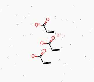 C=CC(=O)[O-].C=CC(=O)[O-].C=CC(=O)[O-].[B+3]